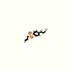 C=CCS(=O)(=O)c1ccc(CCC)cc1